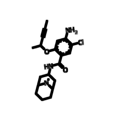 CC#CC(C)Oc1cc(N)c(Cl)cc1C(=O)NC1CC2CCCC(C1)N2C